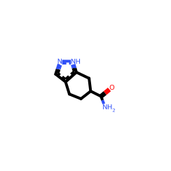 NC(=O)C1CCc2cn[nH]c2C1